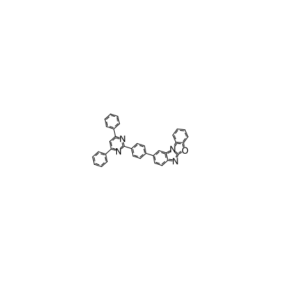 c1ccc(-c2cc(-c3ccccc3)nc(-c3ccc(-c4ccc5nc6oc7ccccc7n6c5c4)cc3)n2)cc1